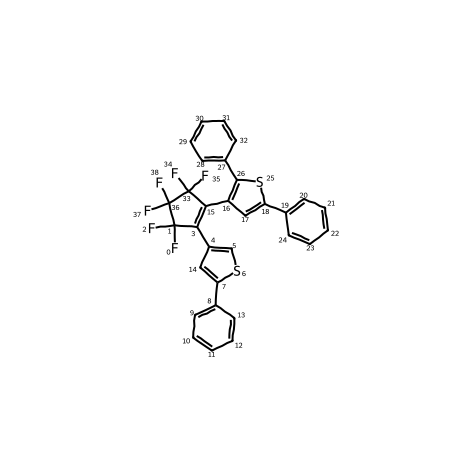 FC1(F)C(c2csc(-c3ccccc3)c2)=C(c2cc(-c3ccccc3)sc2-c2ccccc2)C(F)(F)C1(F)F